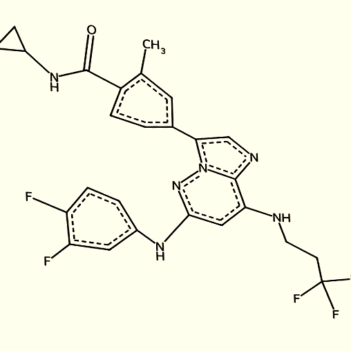 Cc1cc(-c2cnc3c(NCCC(F)(F)F)cc(Nc4ccc(F)c(F)c4)nn23)ccc1C(=O)NC1CC1